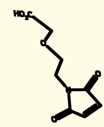 O=C(O)COCCN1C(=O)C=CC1=O